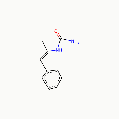 CC(=Cc1ccccc1)NC(N)=O